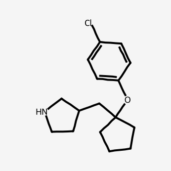 Clc1ccc(OC2(CC3CCNC3)CCCC2)cc1